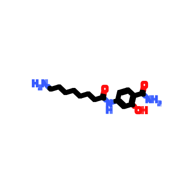 NCCCCCCCC(=O)Nc1ccc(C(N)=O)c(O)c1